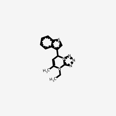 CCN1C(C)=CC(c2csc3ccccc23)n2nnnc21